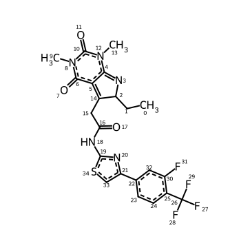 CCC1N=c2c(c(=O)n(C)c(=O)n2C)=C1CC(=O)Nc1nc(-c2ccc(C(F)(F)F)c(F)c2)cs1